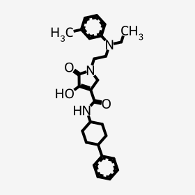 CCN(CCN1CC(C(=O)NC2CCC(c3ccccc3)CC2)=C(O)C1=O)c1cccc(C)c1